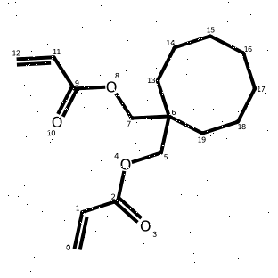 C=CC(=O)OCC1(COC(=O)C=C)CCCCCCC1